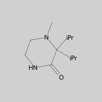 CC(C)C1(C(C)C)C(=O)NCCN1C